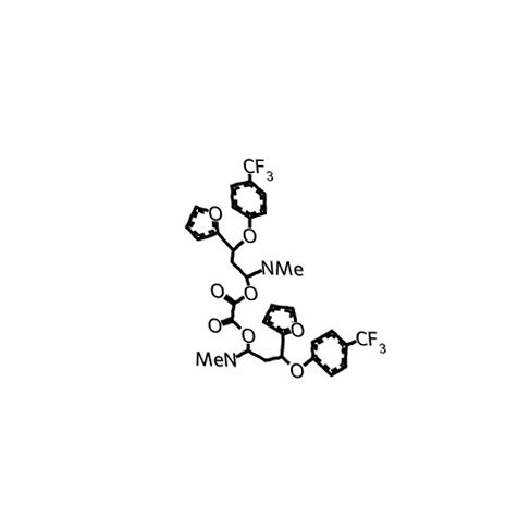 CNC(CC(Oc1ccc(C(F)(F)F)cc1)c1ccco1)OC(=O)C(=O)OC(CC(Oc1ccc(C(F)(F)F)cc1)c1ccco1)NC